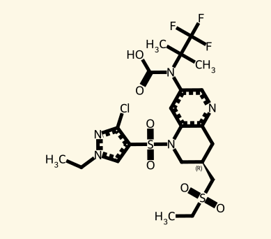 CCn1cc(S(=O)(=O)N2C[C@H](CS(=O)(=O)CC)Cc3ncc(N(C(=O)O)C(C)(C)C(F)(F)F)cc32)c(Cl)n1